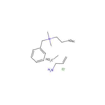 C=CCN.CC(=O)O.CCCCCCCCCCCC[N+](C)(C)Cc1ccccc1.[Cl-]